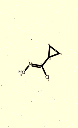 O/N=C(\Cl)C1CC1